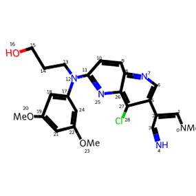 CN/C=C(\C=N)c1cnc2ccc(N(CCCO)c3cc(OC)cc(OC)c3)nc2c1Cl